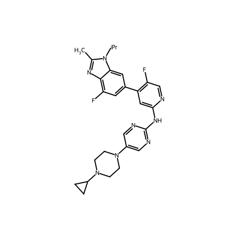 Cc1nc2c(F)cc(-c3cc(Nc4ncc(N5CCN(C6CC6)CC5)cn4)ncc3F)cc2n1C(C)C